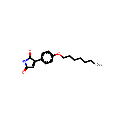 CCCCCCCCCCCCCCCCOc1ccc(C2=CC(=O)NC2=O)cc1